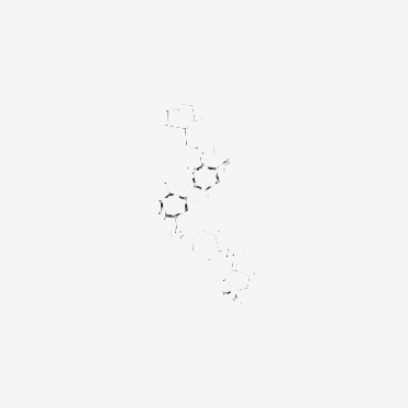 O=S1(=O)CCC(N[C@H]2CC[C@H](Nc3cc(-c4ccc(F)c(NCC5CCOCC5)n4)c(Cl)cn3)CC2)C1